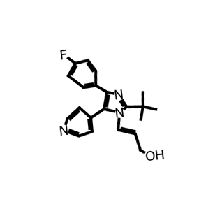 CC(C)(C)c1nc(-c2ccc(F)cc2)c(-c2ccncc2)n1C=CCO